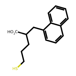 O=C(O)C(CCCS)Cc1cccc2ccccc12